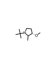 CO[C@H]1CCN(C(C)(C)C)C1C